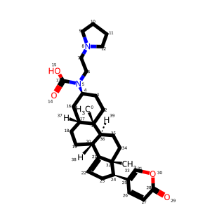 C[C@]12CC[C@H](N(CCN3CCCC3)C(=O)O)C[C@H]1CC[C@H]1C3=CC[C@H](c4ccc(=O)oc4)[C@@]3(C)CC[C@@H]12